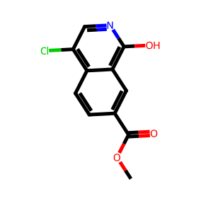 COC(=O)c1ccc2c(Cl)cnc(O)c2c1